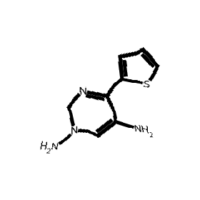 NC1=CN(N)CN=C1c1cccs1